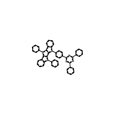 c1ccc(-c2nc(-c3ccccc3)nc(-c3ccc(-n4c5ccccc5c5c4c4c(c6ccccc6n4-c4ccccc4)n5-c4ccccc4)cc3)n2)cc1